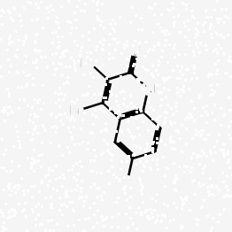 CCCc1c(Br)c2cc(Cl)ccc2[nH]c1=O